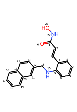 O=C(C=Cc1ccccc1NCc1ccc2ccccc2c1)NO